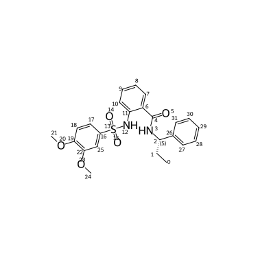 CC[C@H](NC(=O)c1ccccc1NS(=O)(=O)c1ccc(OC)c(OC)c1)c1ccccc1